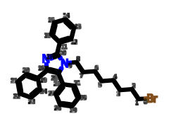 BrCCCCCCCCn1c(-c2ccccc2)nc(-c2ccccc2)c1-c1ccccc1